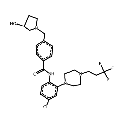 O=C(Nc1ccc(Cl)cc1N1CCN(CCC(F)(F)F)CC1)c1ccc(CN2CC[C@H](O)C2)cc1